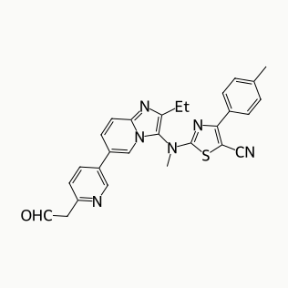 CCc1nc2ccc(-c3ccc(CC=O)nc3)cn2c1N(C)c1nc(-c2ccc(C)cc2)c(C#N)s1